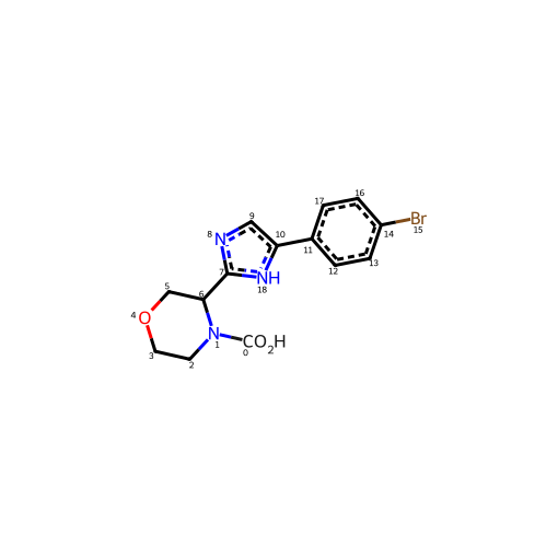 O=C(O)N1CCOCC1c1ncc(-c2ccc(Br)cc2)[nH]1